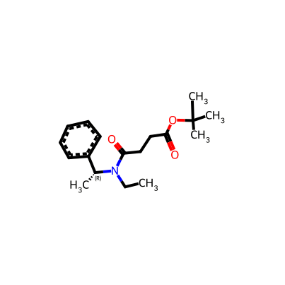 CCN(C(=O)CCC(=O)OC(C)(C)C)[C@H](C)c1ccccc1